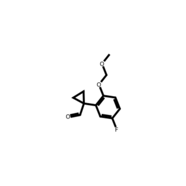 COCOc1ccc(F)cc1C1(C=O)CC1